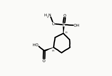 NOP(=O)(O)[C@H]1CCC[C@@H](C(=O)O)C1